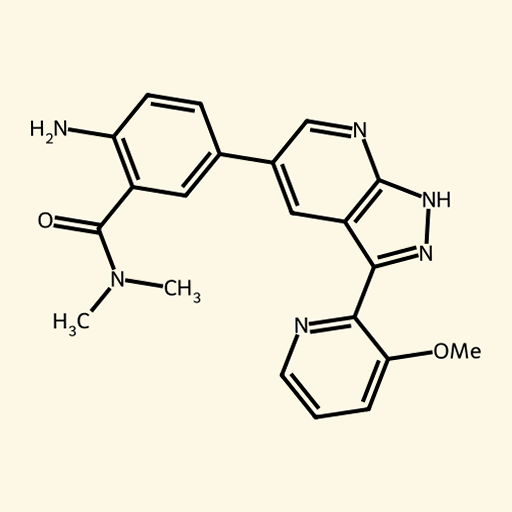 COc1cccnc1-c1n[nH]c2ncc(-c3ccc(N)c(C(=O)N(C)C)c3)cc12